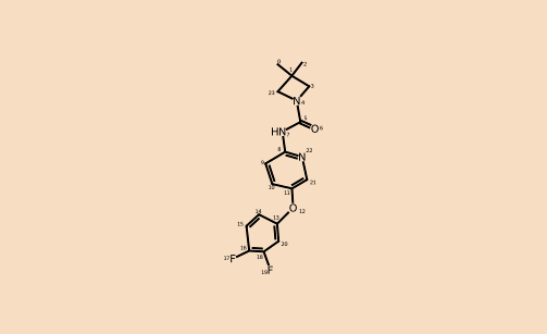 CC1(C)CN(C(=O)Nc2ccc(Oc3ccc(F)c(F)c3)cn2)C1